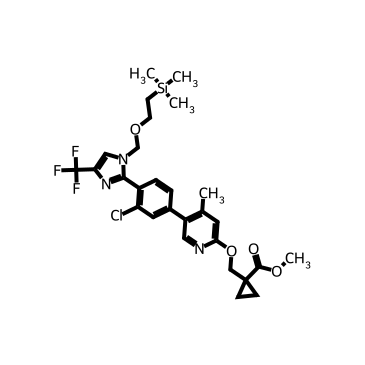 COC(=O)C1(COc2cc(C)c(-c3ccc(-c4nc(C(F)(F)F)cn4COCC[Si](C)(C)C)c(Cl)c3)cn2)CC1